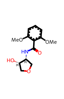 COc1cccc(OC)c1C(=O)N[C@@H]1COC[C@@H]1O